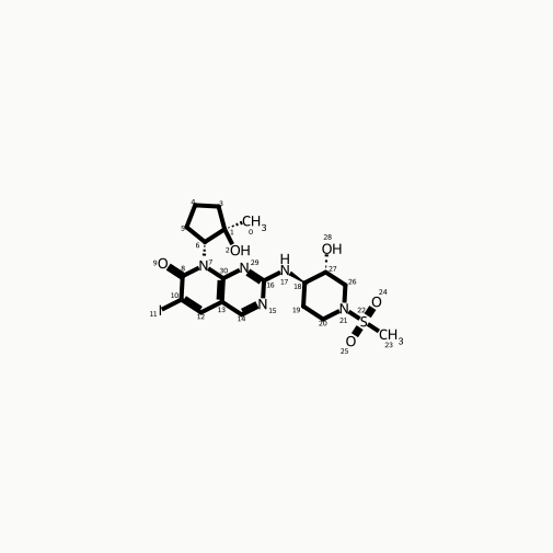 C[C@@]1(O)CCC[C@H]1n1c(=O)c(I)cc2cnc(N[C@@H]3CCN(S(C)(=O)=O)C[C@H]3O)nc21